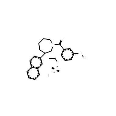 CC(C)Oc1cccc(C(=O)N2CCCC[C@](CCOS(C)(=O)=O)(c3ccc4ccccc4c3)C2)c1